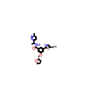 Cc1ccc(C(C)NC(=O)c2cc(OC[C@@H]3CCCO3)cc(-c3ncc(C(C)C)s3)c2)nn1